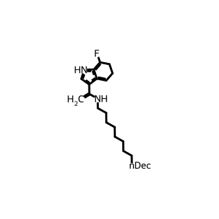 C=C(NCCCCCCCCCCCCCCCCCC)c1c[nH]c2c1=CCCC=2F